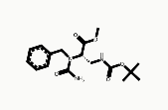 COC(=O)[C@H](CNC(=O)OC(C)(C)C)N(Cc1ccccc1)C(N)=O